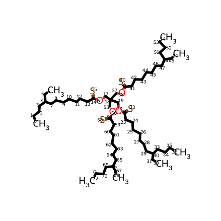 CCCCC(CC)CCCCCCCC(=S)OCC(COC(=S)CCCCCCCC(CC)CCCC)(COC(=S)CCCCCCCC(CC)CCCC)COC(=S)CCCCCCCC(CC)CCCC